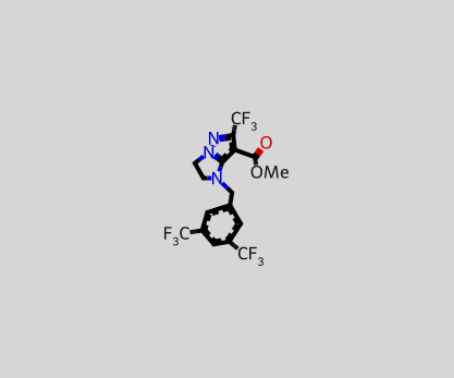 COC(=O)c1c(C(F)(F)F)nn2c1N(Cc1cc(C(F)(F)F)cc(C(F)(F)F)c1)CC2